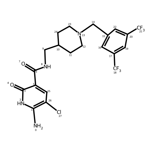 Nc1[nH]c(=O)c(C(=O)NCC2CCN(Cc3cc(C(F)(F)F)cc(C(F)(F)F)c3)CC2)cc1Cl